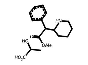 CC(O)C(=O)O.COC(=O)C(c1ccccc1)C1CCCCN1